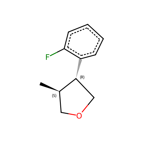 C[C@@H]1COC[C@H]1c1ccccc1F